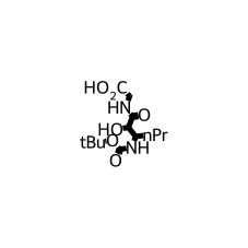 CCCC(NC(=O)OC(C)(C)C)C(O)C(=O)NCC(=O)O